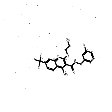 Cc1c(C(=O)NCc2cccc(F)c2)c(OCCO)nc2cc(C(F)(F)F)ccc12